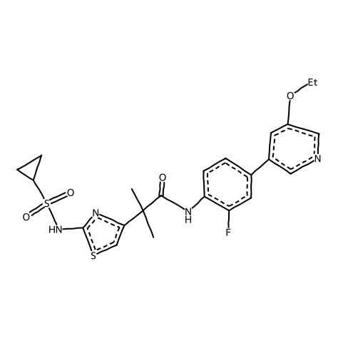 CCOc1cncc(-c2ccc(NC(=O)C(C)(C)c3csc(NS(=O)(=O)C4CC4)n3)c(F)c2)c1